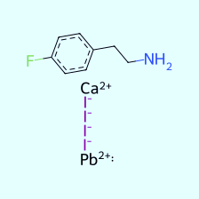 NCCc1ccc(F)cc1.[Ca+2].[I-].[I-].[I-].[I-].[Pb+2]